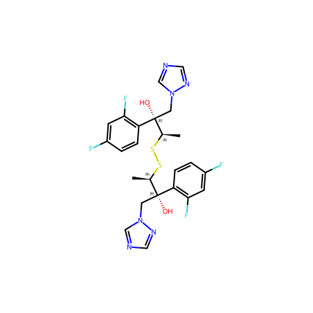 C[C@@H](SS[C@H](C)[C@](O)(Cn1cncn1)c1ccc(F)cc1F)[C@](O)(Cn1cncn1)c1ccc(F)cc1F